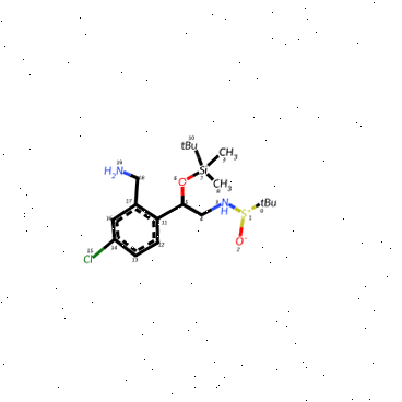 CC(C)(C)[S+]([O-])NCC(O[Si](C)(C)C(C)(C)C)c1ccc(Cl)cc1CN